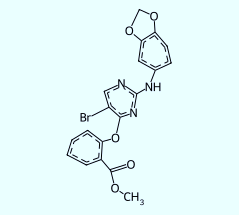 COC(=O)c1ccccc1Oc1nc(Nc2ccc3c(c2)OCO3)ncc1Br